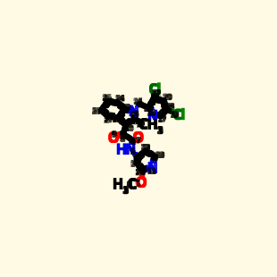 COc1cc(NC(=O)C(=O)c2c(C)n(Cc3ncc(Cl)cc3Cl)c3ccccc23)ccn1